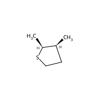 C[C@@H]1SCC[C@@H]1C